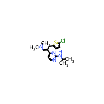 CC(C)Nc1nccc(C(=CN(C)C)Cc2ccc(Cl)s2)n1